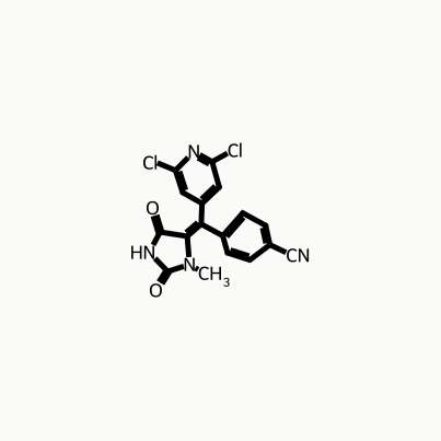 CN1C(=O)NC(=O)/C1=C(/c1ccc(C#N)cc1)c1cc(Cl)nc(Cl)c1